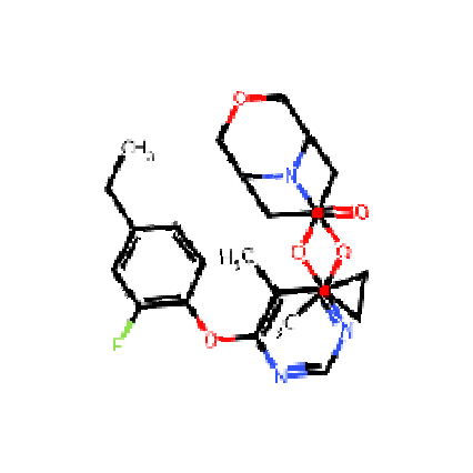 CCc1ccc(Oc2ncnc(OC3CC4COCC(C3)N4C(=O)OC3(C)CC3)c2C)c(F)c1